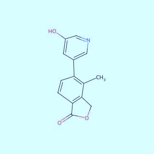 Cc1c(-c2cncc(O)c2)ccc2c1COC2=O